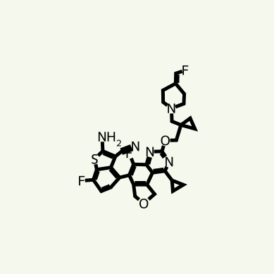 N#Cc1c(N)sc2c(F)ccc(-c3c4c(c5c(C6CC6)nc(OCC6(CN7CCC(=CF)CC7)CC6)nc5c3F)COC4)c12